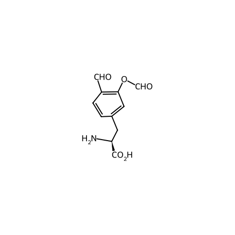 N[C@@H](Cc1ccc(C=O)c(OC=O)c1)C(=O)O